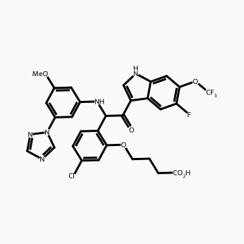 COc1cc(NC(C(=O)c2c[nH]c3cc(OC(F)(F)F)c(F)cc23)c2ccc(Cl)cc2OCCCC(=O)O)cc(-n2cncn2)c1